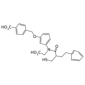 O=C(O)CN(C(=O)C(CS)CCc1ccccc1)c1cccc(OCc2ccc(C(=O)O)cc2)c1